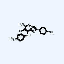 CCOc1ccc(Nc2c(CC)c(N)nn3cc([C@H]4CC[C@H](N)CC4)nc23)cc1